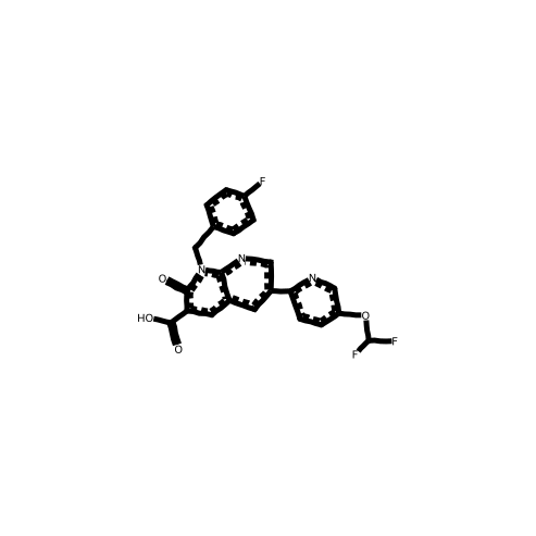 O=C(O)c1cc2cc(-c3ccc(OC(F)F)cn3)cnc2n(Cc2ccc(F)cc2)c1=O